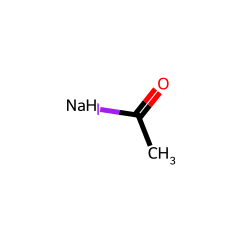 CC(=O)I.[NaH]